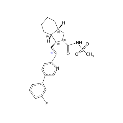 CS(=O)(=O)NC(=O)[C@H]1C[C@H]2CCCC[C@H]2[C@@H]1/C=C/c1ccc(-c2cccc(F)c2)cn1